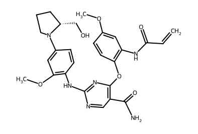 C=CC(=O)Nc1cc(OC)ccc1Oc1nc(Nc2ccc(N3CCC[C@@H]3CO)cc2OC)ncc1C(N)=O